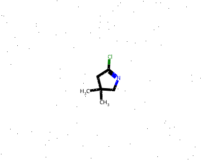 CC1(C)CN=C(Cl)C1